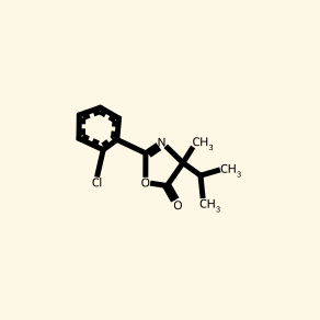 CC(C)C1(C)N=C(c2ccccc2Cl)OC1=O